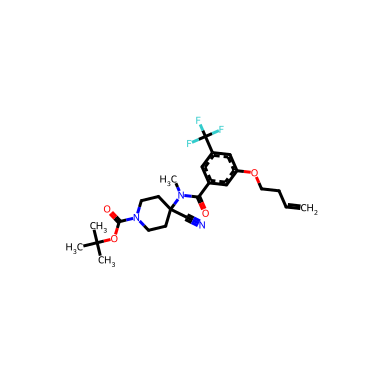 C=CCCOc1cc(C(=O)N(C)C2(C#N)CCN(C(=O)OC(C)(C)C)CC2)cc(C(F)(F)F)c1